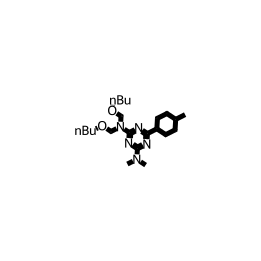 CCCCOCN(COCCCC)c1nc(C2CCC(C)CC2)nc(N(C)C)n1